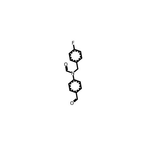 O=Cc1ccc(N(C=O)Cc2ccc(F)cc2)cc1